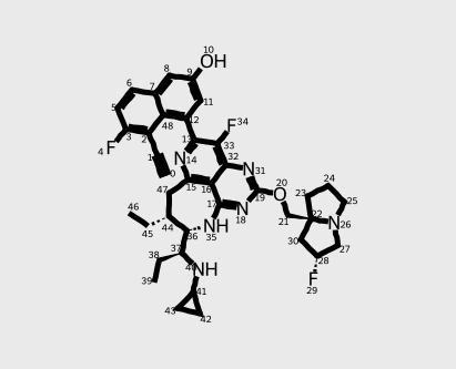 C#Cc1c(F)ccc2cc(O)cc(-c3nc4c5c(nc(OC[C@@]67CCCN6C[C@H](F)C7)nc5c3F)N[C@H]([C@H](CC)NC3CC3)[C@H](CC)C4)c12